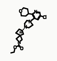 CCOC(=O)N1CC2(CC[C@H](N3CCN(c4cc(Cl)cnc4C4CCOCC4)CC3)C2)C1